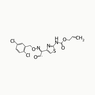 C=CCOC(=O)Nc1nc(/C([C]=O)=N/OCc2cc(Cl)ccc2Cl)cs1